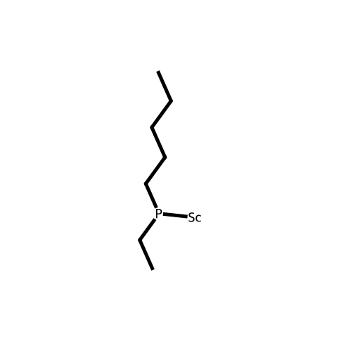 CCCCC[P]([Sc])CC